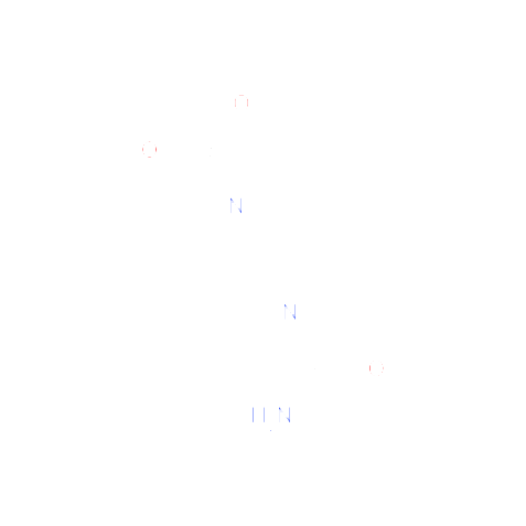 NC(=O)N1CCN2C(=O)OCCC2C1